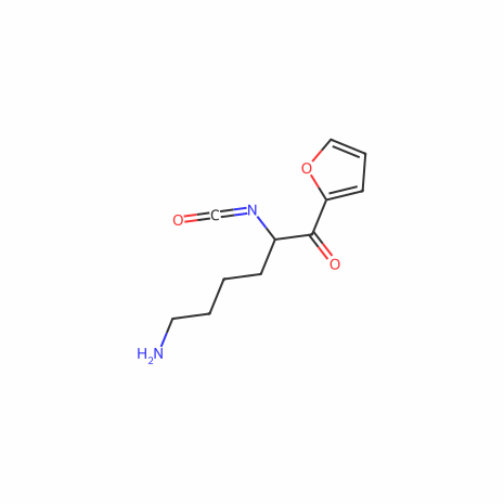 NCCCCC(N=C=O)C(=O)c1ccco1